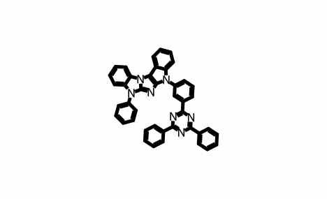 c1ccc(-c2nc(-c3ccccc3)nc(-c3cccc(-n4c5ccccc5c5c4nc4n(-c6ccccc6)c6ccccc6n54)c3)n2)cc1